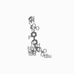 CC(C)(C)OC(=O)N[C@]1(c2ccc(-c3ccc(N4C[C@H](Cn5ccnn5)OC4=O)cc3F)cn2)[C@@H]2CN(C(=O)OC(C)(C)C)C[C@@H]21